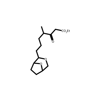 CCOC(=O)CC(=O)C(C)CCCC1OCC2CCC1O2